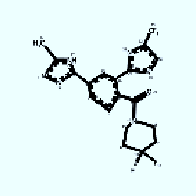 Cc1nnc(-c2ccc(C(=O)N3CCC(F)(F)CC3)c(-c3nc(C(F)(F)F)cs3)c2)[nH]1